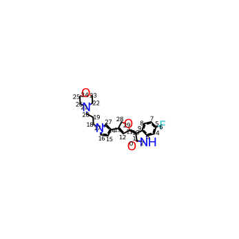 O=C1Nc2cc(F)ccc2/C1=C1/C=C(c2ccn(CCCN3CCOCC3)c2)CO1